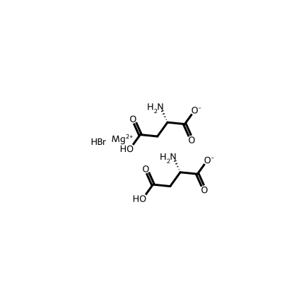 Br.N[C@@H](CC(=O)O)C(=O)[O-].N[C@@H](CC(=O)O)C(=O)[O-].[Mg+2]